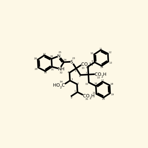 CC(CC(CC(CC(Cc1ccccc1)(Cc1ccccc1)C(=O)O)(Sc1nc2ccccc2[nH]1)C(=O)O)C(=O)O)C(=O)O